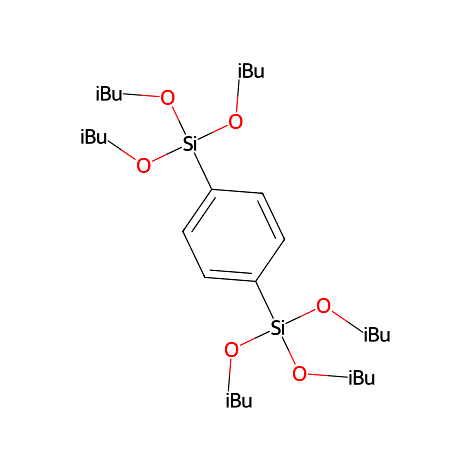 CCC(C)O[Si](OC(C)CC)(OC(C)CC)c1ccc([Si](OC(C)CC)(OC(C)CC)OC(C)CC)cc1